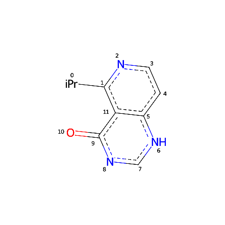 CC(C)c1nccc2[nH]cnc(=O)c12